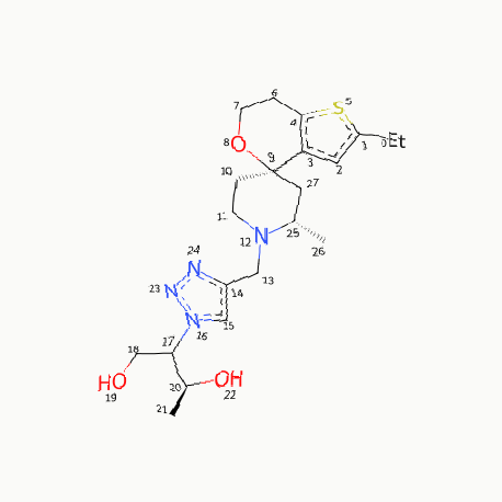 CCc1cc2c(s1)CCO[C@@]21CCN(Cc2cn(C(CO)[C@H](C)O)nn2)[C@@H](C)C1